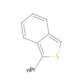 CC[CH]c1scc2ccccc12